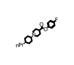 CCC[C@H]1CC[C@H](N2CCC(C(=O)Oc3ccc(F)cc3)CC2)CC1